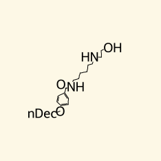 CCCCCCCCCCOc1ccc(C(=O)NCCCCCCNCCO)cc1